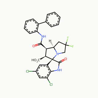 O=C(Nc1ccccc1-c1ccccc1)[C@H]1[C@H]2CC(F)(F)CN2[C@]2(C(=O)Nc3c(Cl)cc(Cl)cc32)[C@H]1C(=O)O